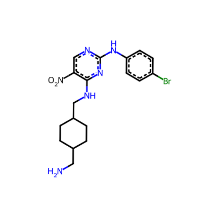 NCC1CCC(CNc2nc(Nc3ccc(Br)cc3)ncc2[N+](=O)[O-])CC1